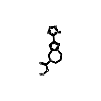 CC(C)(C)OC(=O)N1CCCn2nc(-c3nnn[nH]3)cc2C1